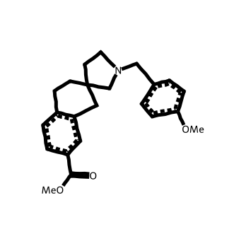 COC(=O)c1ccc2c(c1)CC1(CC2)CCN(Cc2ccc(OC)cc2)C1